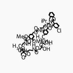 COc1cc(COC(=O)NCCCN(C(=O)c2ccc(C)cc2)[C@@H](c2nc3cc(Cl)ccc3c(=O)n2Cc2ccccc2)C(C)C)cc(OC)c1OC(=O)NCC(C)OC(=O)C1(NC(=O)CCNC(=O)OCC(O)OC(C)CO)CCOCC1